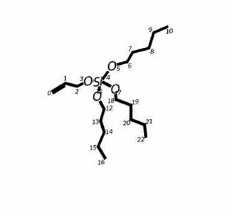 C=CCO[Si](OCCCCC)(OCCCCC)OCCCCC